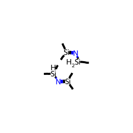 C[SiH2]N=[Si](C)C.C[Si](C)=N[SiH](C)C